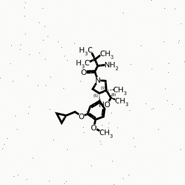 COc1ccc([C@@H]2CN(C(=O)C(N)C(C)(C)C)C[C@@]2(C)[C@@H](C)O)cc1OCC1CC1